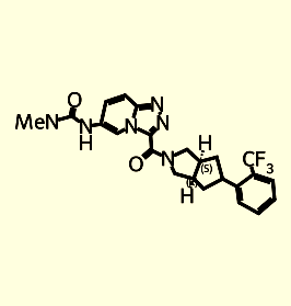 CNC(=O)Nc1ccc2nnc(C(=O)N3C[C@H]4CC(c5ccccc5C(F)(F)F)C[C@H]4C3)n2c1